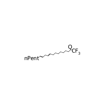 CCCCCC=CCC=CCCCCCCCC(=O)C(F)(F)F